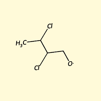 CC(Cl)C(Cl)C[O]